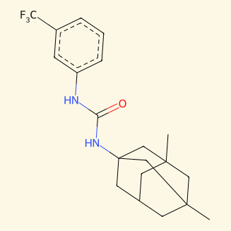 CC12CC3CC(C)(C1)CC(NC(=O)Nc1cccc(C(F)(F)F)c1)(C3)C2